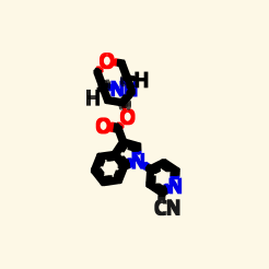 N#Cc1cc(-n2cc(C(=O)O[C@H]3C[C@H]4COC[C@@H](C3)N4)c3ccccc32)ccn1